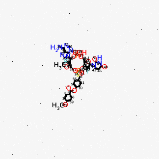 COc1ccc(C(=O)Oc2ccc(CSP3(=O)OC[C@@H](OC)[C@@H](F)[C@H](n4cnc5c(N)ncnc54)OP(=O)(O)OC[C@H]4O[C@@H](n5ccc(=O)[nH]c5=O)[C@H](F)[C@@H]4O3)cc2)cc1